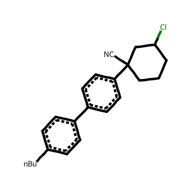 CCCCc1ccc(-c2ccc(C3(C#N)CCCC(Cl)C3)cc2)cc1